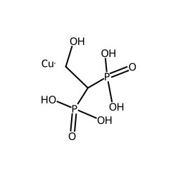 O=P(O)(O)C(CO)P(=O)(O)O.[Cu]